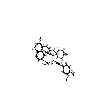 COc1ccc2ncc(Cl)c(CCCC3(C(O)CC#Cc4ccc(F)c(F)c4)CCNCC3)c2c1